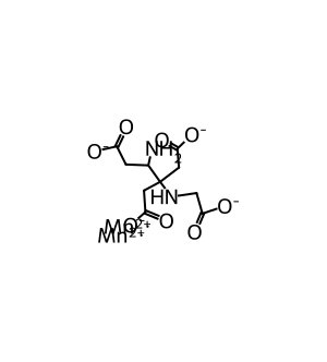 NC(CC(=O)[O-])C(CC(=O)[O-])(CC(=O)[O-])NCC(=O)[O-].[Mn+2].[Mn+2]